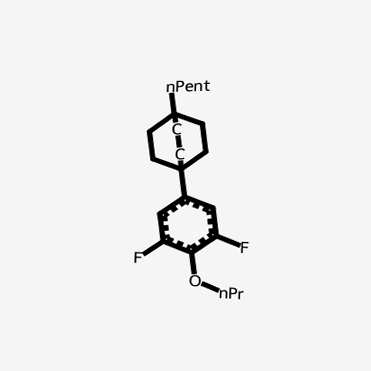 CCCCCC12CCC(c3cc(F)c(OCCC)c(F)c3)(CC1)CC2